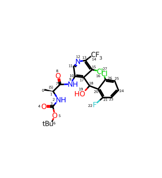 C[C@H](NC(=O)OC(C)(C)C)C(=O)Nc1cnc(C(F)(F)F)c(Cl)c1C(O)c1c(F)cccc1Cl